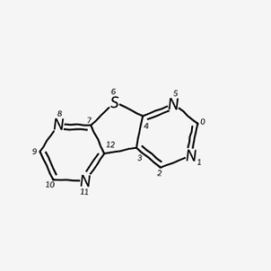 c1ncc2c(n1)sc1nccnc12